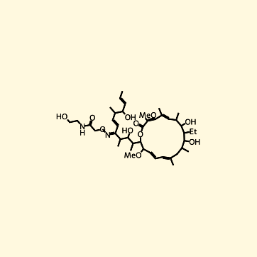 C/C=C/C(O)C(C)/C=C/C(=N\OCC(=O)NCCO)C(C)C(O)C(C)C1OC(=O)/C(OC)=C/C(C)=C/C(C)C(O)C(CC)C(O)C(C)C/C(C)=C/C=C/C1OC